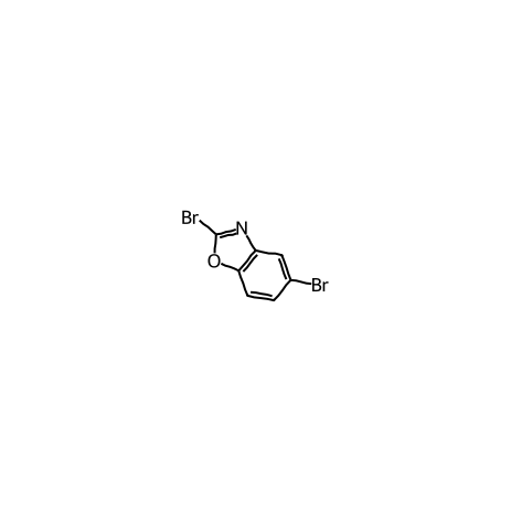 Brc1ccc2oc(Br)nc2c1